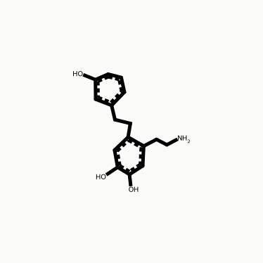 NCCc1cc(O)c(O)cc1CCc1cccc(O)c1